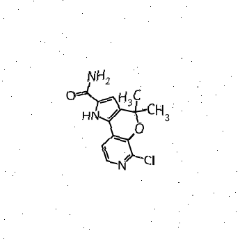 CC1(C)Oc2c(ccnc2Cl)-c2[nH]c(C(N)=O)cc21